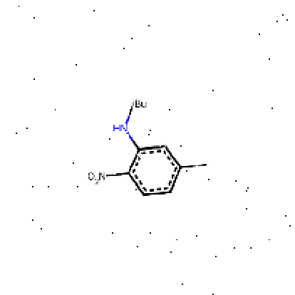 CCC(C)Nc1cc(C)ccc1[N+](=O)[O-]